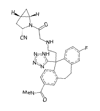 CNC(=O)c1ccc2c(c1)CCc1cc(F)ccc1C2(CCNCC(=O)N1[C@H](C#N)C[C@@H]2C[C@@H]21)c1nnn[nH]1